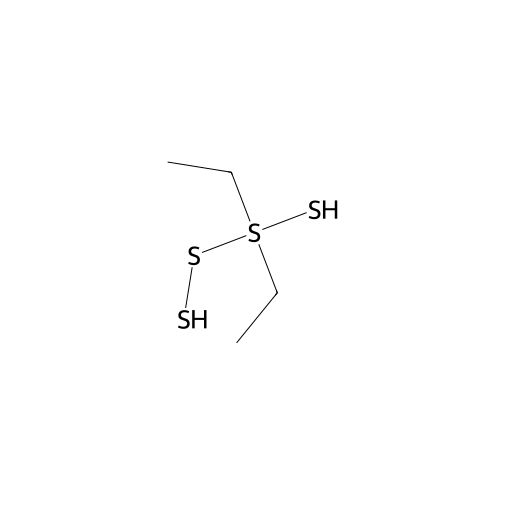 CCS(S)(CC)SS